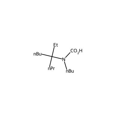 CCCCN(C(=O)O)C(CC)(CCC)CCCC